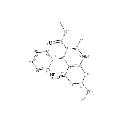 COC(=O)C1=C(C)NC2=C(C(=O)CC(OC)C2)C1c1ccccc1Br